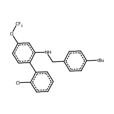 CC(C)(C)c1ccc(CNc2cc(OC(F)(F)F)ccc2-c2ccccc2Cl)cc1